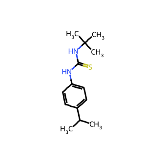 CC(C)c1ccc(NC(=S)NC(C)(C)C)cc1